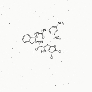 O=C(Nc1cc([N+](=O)[O-])cc([N+](=O)[O-])c1)N[C@@H]1c2ccccc2C[C@@H]1NC(=O)c1cc2sc(Cl)c(Cl)c2[nH]1